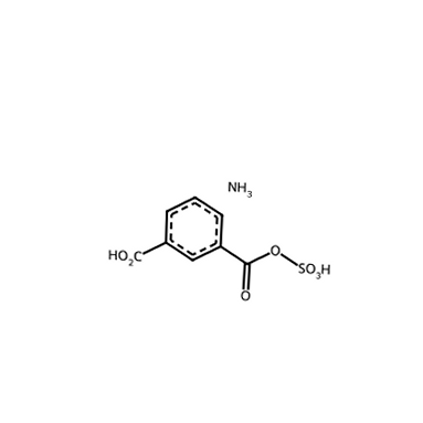 N.O=C(O)c1cccc(C(=O)OS(=O)(=O)O)c1